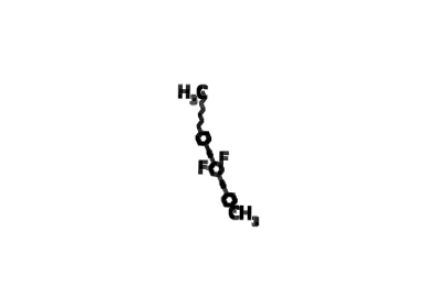 CCCCCCCc1ccc(C#Cc2c(F)cc(C#Cc3ccc(C)cc3)cc2F)cc1